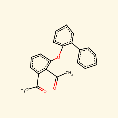 CC(=O)c1cccc(Oc2ccccc2-c2ccccc2)c1C(C)=O